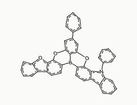 c1ccc(-c2cc3c4c(c2)Oc2c(ccc5c6ccccc6n(-c6ccccc6)c25)B4c2ccc4c(oc5ccccc54)c2O3)cc1